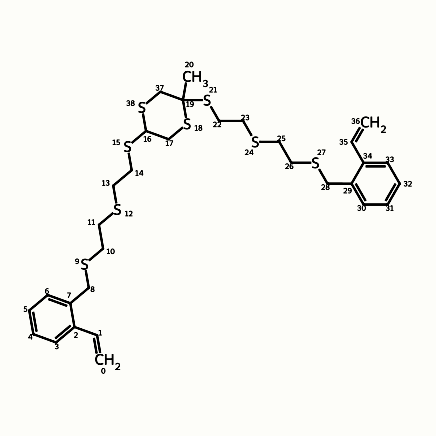 C=Cc1ccccc1CSCCSCCSC1CSC(C)(SCCSCCSCc2ccccc2C=C)CS1